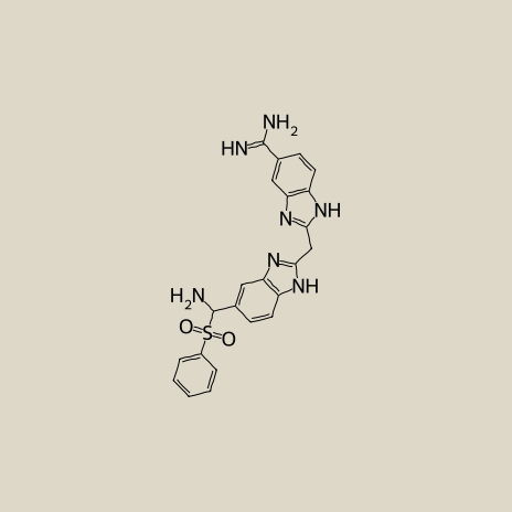 N=C(N)c1ccc2[nH]c(Cc3nc4cc(C(N)S(=O)(=O)c5ccccc5)ccc4[nH]3)nc2c1